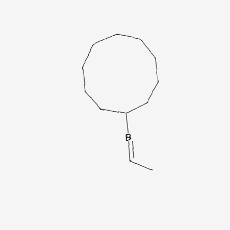 C/C=B/C1CCCCCCCCC1